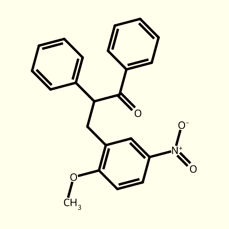 COc1ccc([N+](=O)[O-])cc1CC(C(=O)c1ccccc1)c1ccccc1